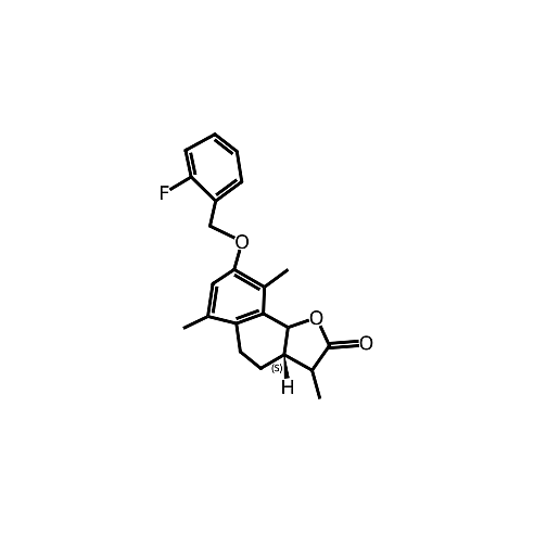 Cc1cc(OCc2ccccc2F)c(C)c2c1CC[C@H]1C(C)C(=O)OC21